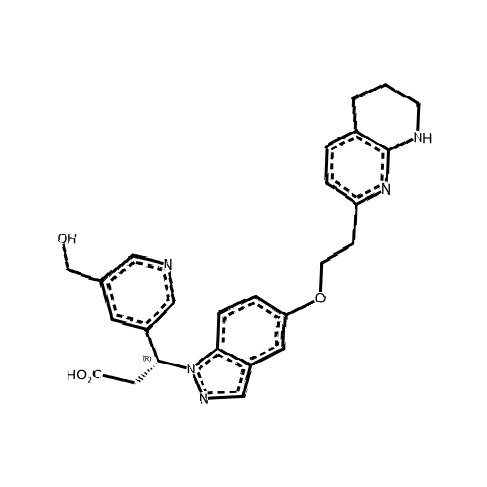 O=C(O)C[C@H](c1cncc(CO)c1)n1ncc2cc(OCCc3ccc4c(n3)NCCC4)ccc21